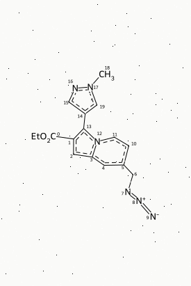 CCOC(=O)c1cc2cc(CN=[N+]=[N-])ccn2c1-c1cnn(C)c1